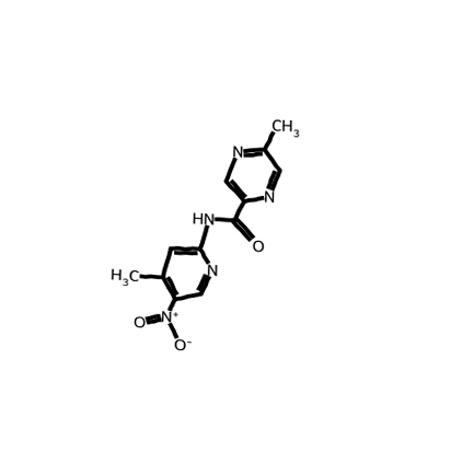 Cc1cnc(C(=O)Nc2cc(C)c([N+](=O)[O-])cn2)cn1